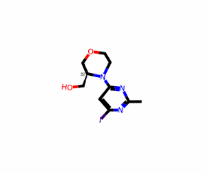 Cc1nc(I)cc(N2CCOC[C@@H]2CO)n1